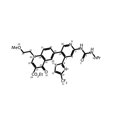 CCCNC(=O)Nc1cc(-c2nc(C(F)(F)F)cs2)c(-c2ccc3c(c2)c(=O)c(C(=O)OCC)cn3CCOC)cn1